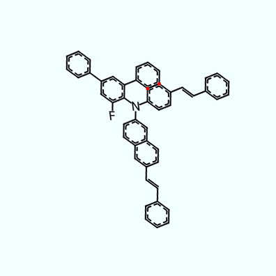 Fc1cc(-c2ccccc2)cc(-c2ccccc2)c1N(c1ccc(/C=C/c2ccccc2)cc1)c1ccc2cc(/C=C/c3ccccc3)ccc2c1